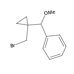 COC(c1ccccc1)C1(CBr)CC1